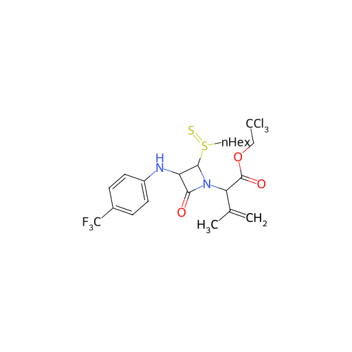 C=C(C)C(C(=O)OCC(Cl)(Cl)Cl)N1C(=O)C(Nc2ccc(C(F)(F)F)cc2)C1S(=S)CCCCCC